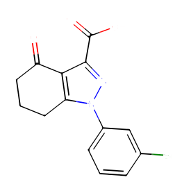 O=C(O)c1nn(-c2cccc(Br)c2)c2c1C(=O)CCC2